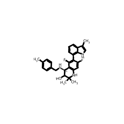 Cc1ccc(CN[C@H]2c3c(cc(F)c(-c4cccc5c(C)c[nH]c45)c3F)NC(C)(C)C2O)cc1